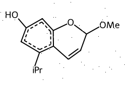 COC1C=Cc2c(cc(O)cc2C(C)C)O1